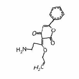 C=CCOC(CCN)=C1C(=O)C=C(c2ccccc2)OC1=O